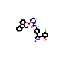 Cn1cc(-c2ccc(NC(=O)[C@@H]3CNCCN3C(=O)OCC3c4ccccc4-c4ccccc43)cc2)c(-c2cc(Cl)ccc2O)n1